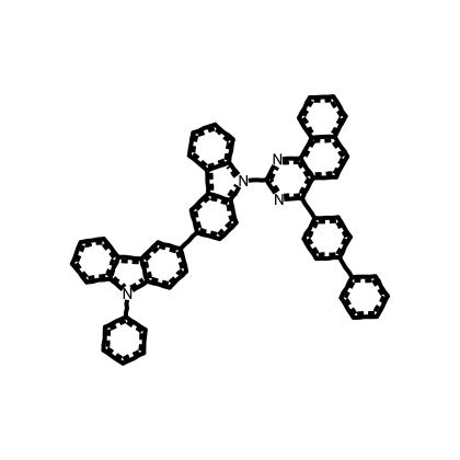 c1ccc(-c2ccc(-c3nc(-n4c5ccccc5c5cc(-c6ccc7c(c6)c6ccccc6n7-c6ccccc6)ccc54)nc4c3ccc3ccccc34)cc2)cc1